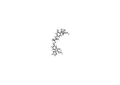 CC(C)C1(c2ccc(OCC(=O)NCc3ccc(NS(C)(=O)=O)c(F)c3)cc2)SCCS1